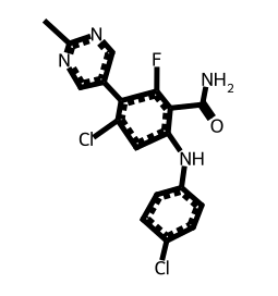 Cc1ncc(-c2c(Cl)cc(Nc3ccc(Cl)cc3)c(C(N)=O)c2F)cn1